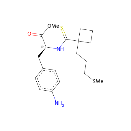 COC(=O)[C@H](Cc1ccc(N)cc1)NC(=S)C1(CCCSC)CCC1